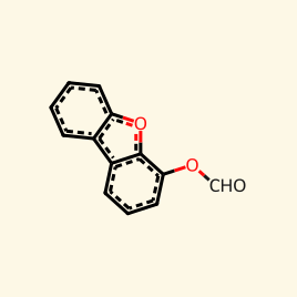 O=COc1cccc2c1oc1ccccc12